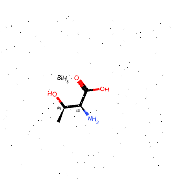 C[C@@H](O)[C@H](N)C(=O)O.[BiH3]